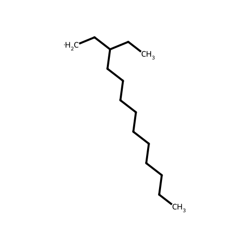 [CH2]CC(CC)CCCCCCCCCC